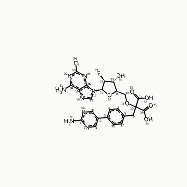 Nc1ncc(-c2ccc(CC(OC[C@H]3O[C@@H](n4cnc5c(N)nc(Cl)nc54)[C@@H](F)[C@@H]3O)(C(=O)O)C(=O)O)cc2)cn1